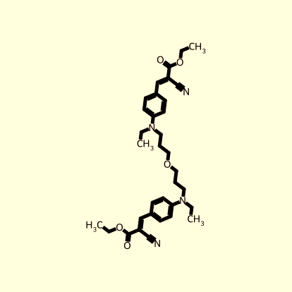 CCOC(=O)/C(C#N)=C/c1ccc(N(CC)CCCOCCCN(CC)c2ccc(/C=C(\C#N)C(=O)OCC)cc2)cc1